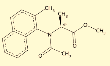 COC(=O)[C@H](C)N(C(C)=O)c1c(C)ccc2ccccc12